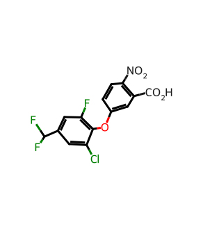 O=C(O)c1cc(Oc2c(F)cc(C(F)F)cc2Cl)ccc1[N+](=O)[O-]